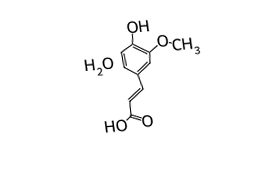 COc1cc(C=CC(=O)O)ccc1O.O